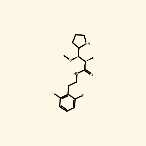 CO[C@@H](C1CCCN1)[C@@H](C)C(=O)NCCc1c(F)cccc1F